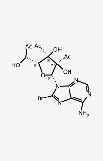 CC(=O)C(O)[C@H]1O[C@@H](n2c(Br)nc3c(N)ncnc32)[C@@](O)(C(C)=O)[C@@]1(O)C(C)=O